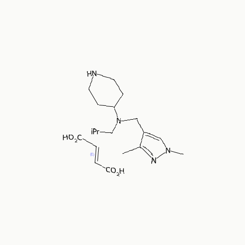 Cc1nn(C)cc1CN(CC(C)C)C1CCNCC1.O=C(O)/C=C/C(=O)O